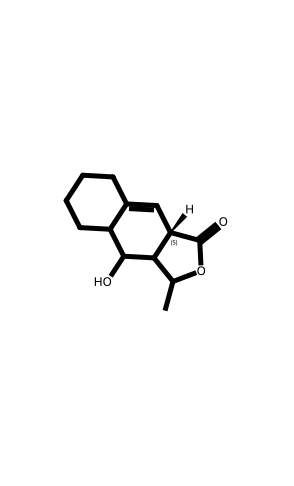 CC1OC(=O)[C@H]2C=C3CCCCC3C(O)C12